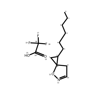 CCCCCCC1CC12CC=NO2.O=C(O)C(F)(F)F